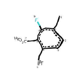 Cc1ccc(C(C)C)c(C(=O)O)c1F